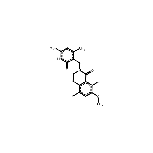 COc1cc(Cl)c2c(c1Cl)C(=O)N(Cc1c(C)cc(C)[nH]c1=O)CC2